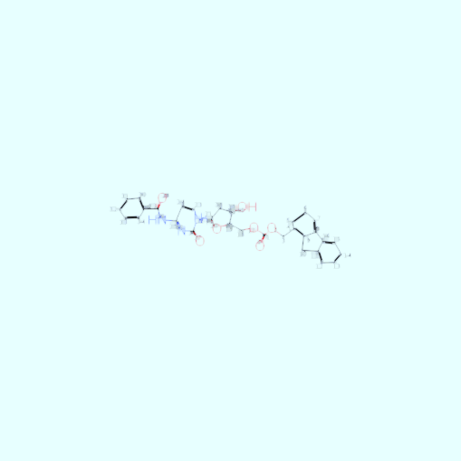 O=C(OCc1cccc2c1Cc1ccccc1-2)OC[C@H]1O[C@@H](n2ccc(NC(=O)c3ccccc3)nc2=O)C[C@@H]1O